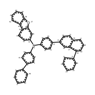 c1ccc(-c2ccc(N(c3ccc(-c4ccc5cccc(-c6ccccc6)c5c4)cc3)c3ccc4c(c3)oc3ccccc34)cc2)cc1